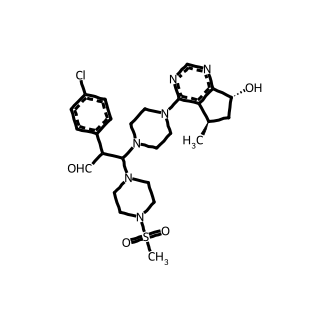 C[C@@H]1C[C@@H](O)c2ncnc(N3CCN(C(C(C=O)c4ccc(Cl)cc4)N4CCN(S(C)(=O)=O)CC4)CC3)c21